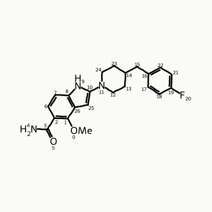 COc1c(C(N)=O)ccc2[nH]c(N3CCC(Cc4ccc(F)cc4)CC3)cc12